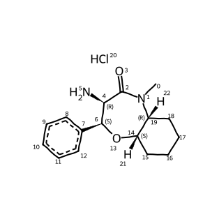 CN1C(=O)[C@H](N)[C@H](c2ccccc2)O[C@H]2CCCC[C@H]21.Cl